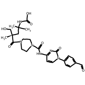 CC(C)(C[C@@](C)(CO)C(=O)N1CCN(C(=O)Nc2ccn(-c3ccc(C=O)cc3)c(=O)n2)CC1)NC(=O)O